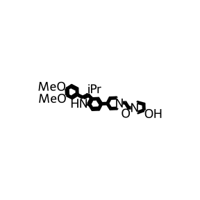 COc1ccc(-c2[nH]c3ccc(C4CCN(CC(=O)N5CCC(O)C5)CC4)cc3c2C(C)C)cc1OC